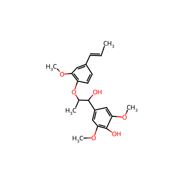 C/C=C/c1ccc(OC(C)C(O)c2cc(OC)c(O)c(OC)c2)c(OC)c1